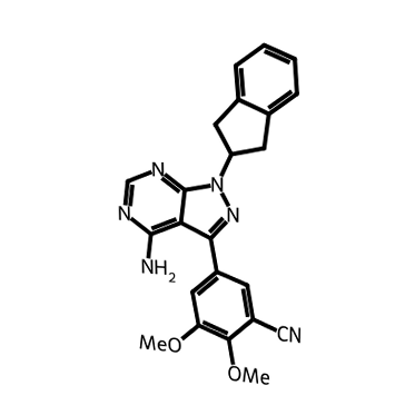 COc1cc(-c2nn(C3Cc4ccccc4C3)c3ncnc(N)c23)cc(C#N)c1OC